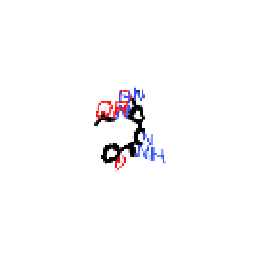 COc1ccccc1-c1c[nH]c2ncc(-c3ccc(C(=O)N(C)C)c(NCC(C)O)c3)cc12